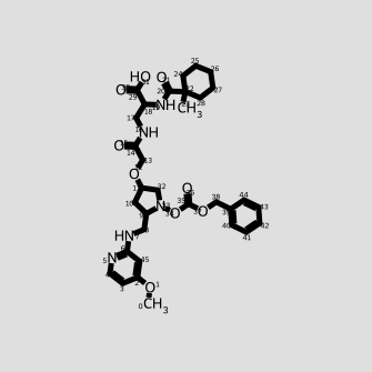 COc1ccnc(NCC2CC(OCC(=O)NCC(NC(=O)C3(C)CCCCC3)C(=O)O)CN2OC(=O)OCc2ccccc2)c1